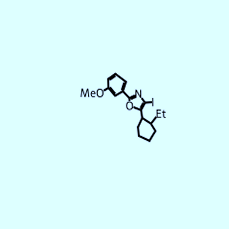 CCC1CCCCC1c1oc(-c2cccc(OC)c2)nc1I